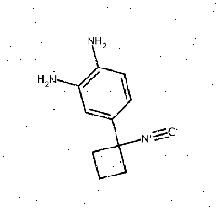 [C-]#[N+]C1(c2ccc(N)c(N)c2)CCC1